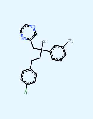 N#CC(CCc1ccc(Cl)cc1)(Cc1cnccn1)c1cccc(C(F)(F)F)c1